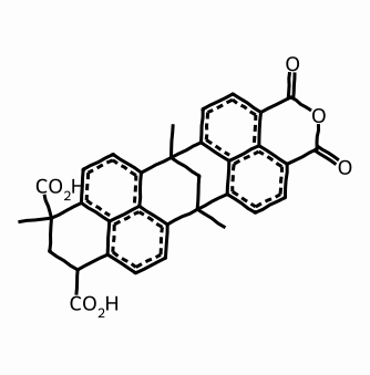 CC1(C(=O)O)CC(C(=O)O)c2ccc3c4c(ccc1c24)C1(C)CC3(C)c2ccc3c4c(ccc1c24)C(=O)OC3=O